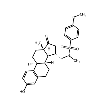 COc1ccc(S(=O)(=O)N(C)C[C@H]2CC(=O)[C@@]3(C)CC[C@@H]4c5ccc(O)cc5CC[C@H]4[C@H]23)cc1